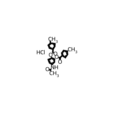 CC(=O)Nc1ccc(OC(=O)c2ccc(C)cc2)c(OC(=O)c2ccc(C)cc2)c1.Cl